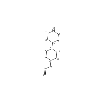 C=CCC1CCC(C2CC[N]CC2)CC1